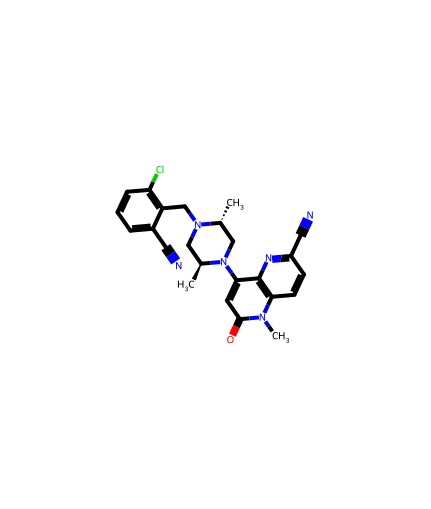 C[C@@H]1CN(c2cc(=O)n(C)c3ccc(C#N)nc23)[C@@H](C)CN1Cc1c(Cl)cccc1C#N